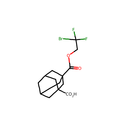 O=C(O)C12CC3CC(C1)CC(C(=O)OCC(F)(F)Br)(C3)C2